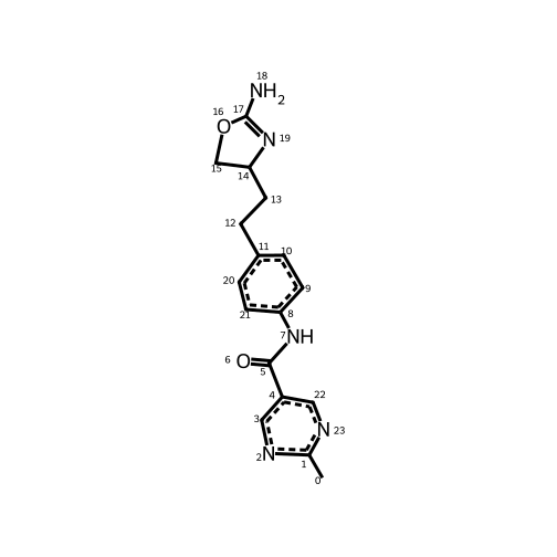 Cc1ncc(C(=O)Nc2ccc(CCC3COC(N)=N3)cc2)cn1